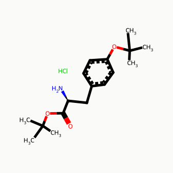 CC(C)(C)OC(=O)[C@@H](N)Cc1ccc(OC(C)(C)C)cc1.Cl